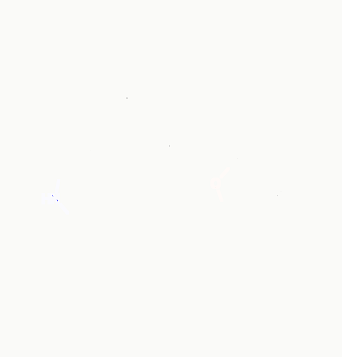 CC(=O)OCC1=CNCCC(C(/C=C\C(OC2CCCCC2)=C(C)C)=C(C)C)=C1